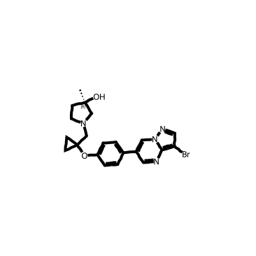 C[C@@]1(O)CCN(CC2(Oc3ccc(-c4cnc5c(Br)cnn5c4)cc3)CC2)C1